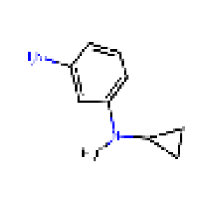 CN(c1cccc(N)c1)C1CC1